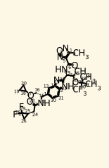 Cc1nonc1C(=O)N[C@H](c1nc2cc([C@@H](COC3CC3)NC(=O)C[C@H]3CC3(F)F)ccc2[nH]1)[C@@H](C)OC(C)(C)C(F)(F)F